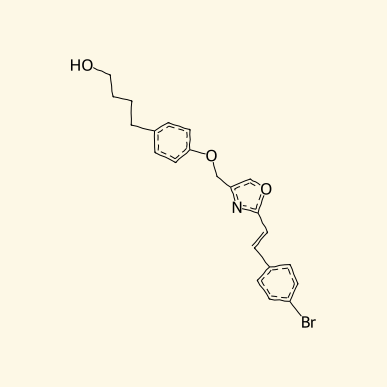 OCCCCc1ccc(OCc2coc(C=Cc3ccc(Br)cc3)n2)cc1